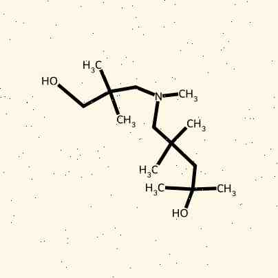 CN(CC(C)(C)CO)CC(C)(C)CC(C)(C)O